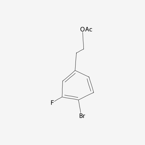 CC(=O)OCCc1ccc(Br)c(F)c1